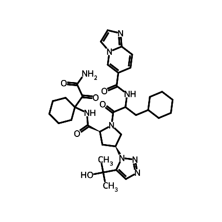 CC(C)(O)c1cnnn1[C@H]1C[C@@H](C(=O)NC2(C(=O)C(N)=O)CCCCC2)N(C(=O)C(CC2CCCCC2)NC(=O)c2ccc3nccn3c2)C1